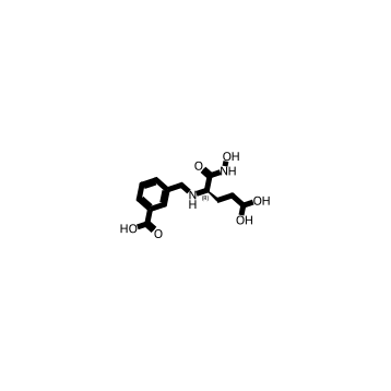 O=C(O)c1cccc(CN[C@H](CCC(O)O)C(=O)NO)c1